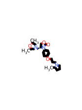 CC1CN(C[C@@H]2COC(=O)N2c2ccc(OCCCN3CCCC3C)cc2)CC(C)O1